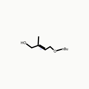 CCCCOC/C=C(\C)CO